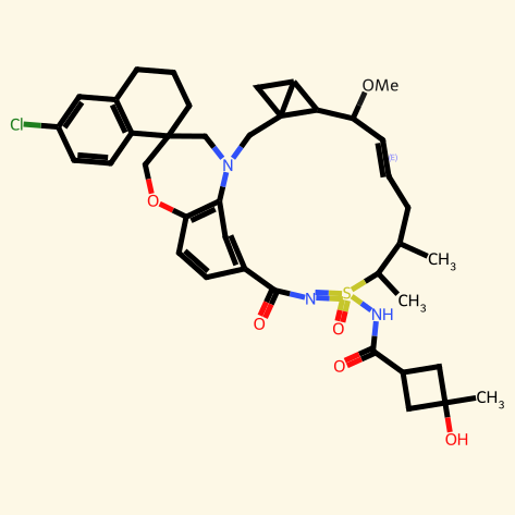 COC1/C=C/CC(C)C(C)S(=O)(NC(=O)C2CC(C)(O)C2)=NC(=O)c2ccc3c(c2)N(CC2(CCCc4cc(Cl)ccc42)CO3)CC23CC2C13